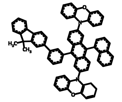 CC1(C)c2ccccc2-c2ccc(-c3cccc(-c4c5cc(N6C7=C(C=CCC7)Oc7ccccc76)ccc5c(-c5cccc6ccccc56)c5cc(N6c7ccccc7Oc7ccccc76)ccc45)c3)cc21